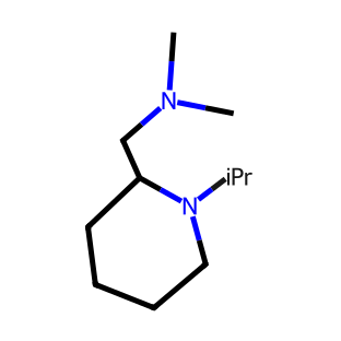 CC(C)N1CCCCC1CN(C)C